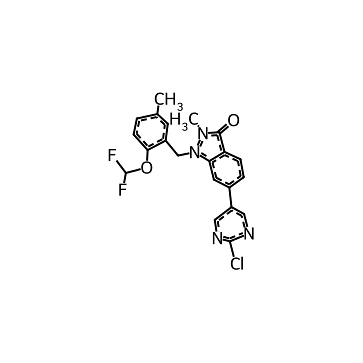 Cc1ccc(OC(F)F)c(Cn2c3cc(-c4cnc(Cl)nc4)ccc3c(=O)n2C)c1